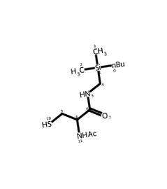 CCCC[Si](C)(C)CNC(=O)C(CS)NC(C)=O